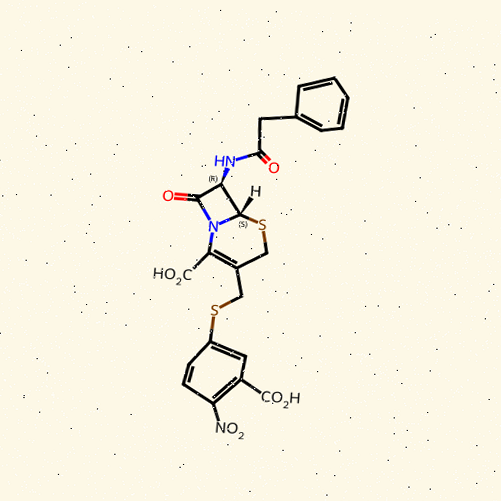 O=C(Cc1ccccc1)N[C@@H]1C(=O)N2C(C(=O)O)=C(CSc3ccc([N+](=O)[O-])c(C(=O)O)c3)CS[C@@H]12